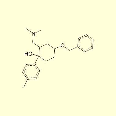 Cc1ccc(C2(O)CCC(OCc3ccccc3)CC2CN(C)C)cc1